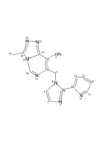 CCCc1c(Cn2ccnc2-c2ccccn2)ncn2c(C)nnc12